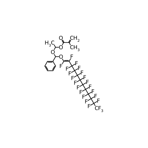 C=C(C)C(=O)OC(C)OC(OC(F)=C(F)C(F)(F)C(F)(F)C(F)(F)C(F)(F)C(F)(F)C(F)(F)C(F)(F)C(F)(F)C(F)(F)C(F)(F)F)c1ccccc1